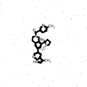 Cc1ccc(C(=O)N2CCc3cc(-c4cnc5[nH]cc(C)c5c4)cc(C4(C(C)(C)C)CCCN4C(=O)O)c3C2)cn1